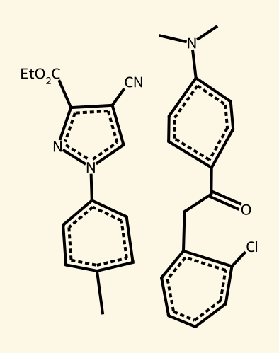 CCOC(=O)c1nn(-c2ccc(C)cc2)cc1C#N.CN(C)c1ccc(C(=O)Cc2ccccc2Cl)cc1